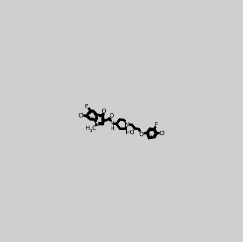 Cn1cc(C(=O)NC2CCN(C[C@@H](O)COc3ccc(Cl)c(F)c3)CC2)c(=O)c2cc(F)c(Cl)cc21